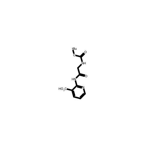 CC(C)(C)OC(=O)NCC(=O)Nc1ncccc1C(=O)O